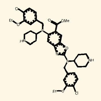 CCOc1cc(CN(c2nc3cc(N(Cc4ccc(Cl)c(OCC)c4)C4CCNCC4)c(C(=O)OC)cc3o2)C2CCNCC2)ccc1Cl